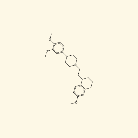 COc1ccc2c(c1)CCCC2CCN1CCC(c2ccc(OC)c(OC)c2)CC1